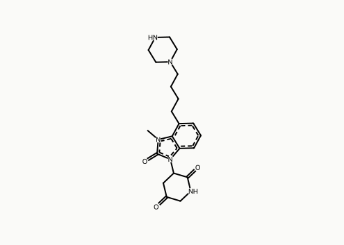 Cn1c(=O)n(C2CC(=O)CNC2=O)c2cccc(CCCCN3CCNCC3)c21